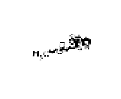 CCCCOC(=O)CCCC(Sc1ccccn1)C(=O)OC